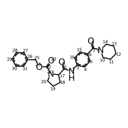 O=C(Nc1ccc(C(=O)N2CCCCC2)cc1)C1CCCN1C(=O)OCc1ccccc1